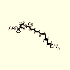 CCCCCCCCCCCC(=O)N1CC[C@H](C(=O)O)C1